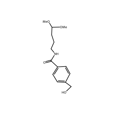 COC(CCCNC(=O)c1ccc(CO)cc1)OC